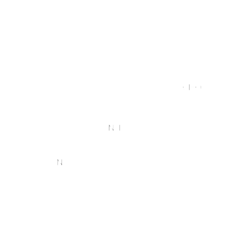 CN(C)CCNc1cccc(CC=O)c1